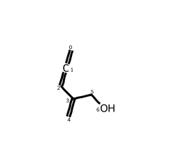 C=C=CC(=C)CO